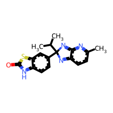 Cc1ccc2c(n1)=NC(c1ccc3[nH]c(=O)sc3c1)(C(C)C)N=2